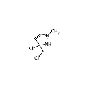 CN1C=CC(Cl)(CCl)N1